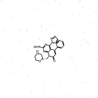 CNc1nc(-n2ccnn2)c2c(-c3ccccc3)cc(=O)n(C[C@H]3CNCCO3)c2n1